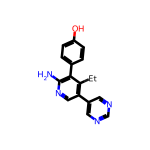 CCc1c(-c2cncnc2)cnc(N)c1-c1ccc(O)cc1